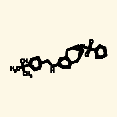 CC(C)(C)c1ccc(CNc2ccc3c(c2)CC2CCC(C3)C2NS(=O)(=O)c2ccccc2)cc1